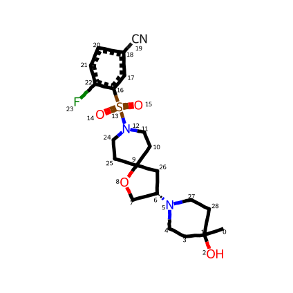 CC1(O)CCN([C@@H]2COC3(CCN(S(=O)(=O)c4cc(C#N)ccc4F)CC3)C2)CC1